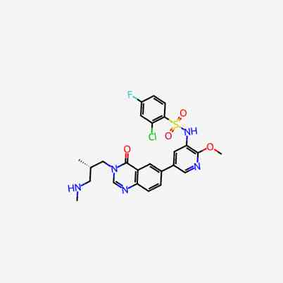 CNC[C@H](C)Cn1cnc2ccc(-c3cnc(OC)c(NS(=O)(=O)c4ccc(F)cc4Cl)c3)cc2c1=O